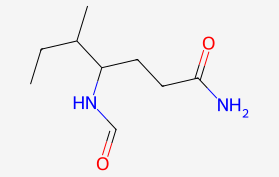 CCC(C)C(CCC(N)=O)NC=O